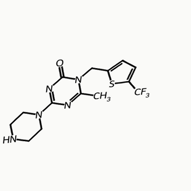 Cc1nc(N2CCNCC2)nc(=O)n1Cc1ccc(C(F)(F)F)s1